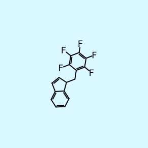 Fc1c(F)c(F)c(CC2C=Cc3ccccc32)c(F)c1F